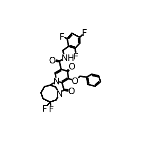 O=C(NCc1c(F)cc(F)cc1F)c1cn2c(c(OCc3ccccc3)c1=O)C(=O)N1CC2CCCC(F)(F)C1